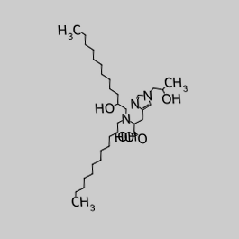 CCCCCCCCCCC(O)CN(CC(O)CCCCCCCCCC)C(Cc1cn(CC(C)O)cn1)C(=O)O